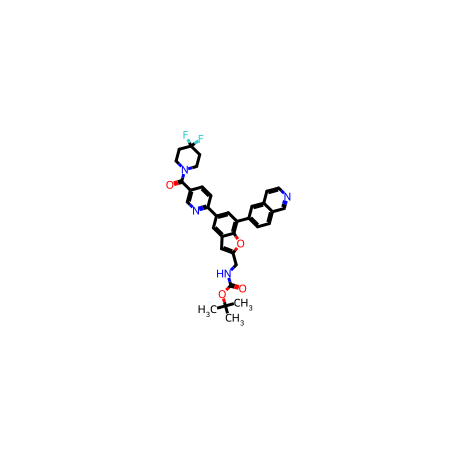 CC(C)(C)OC(=O)NCc1cc2cc(-c3ccc(C(=O)N4CCC(F)(F)CC4)cn3)cc(-c3ccc4cnccc4c3)c2o1